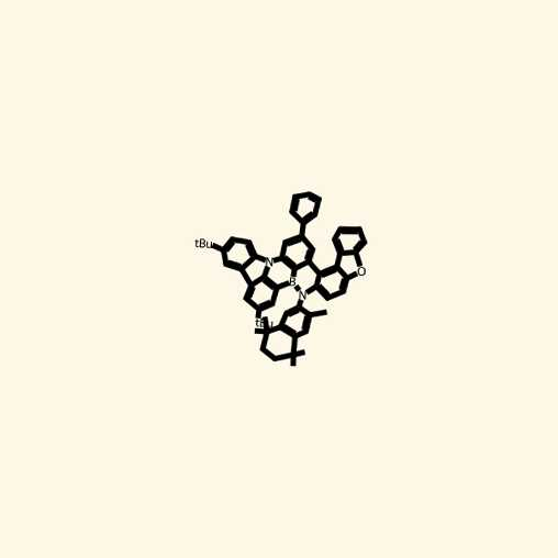 Cc1cc2c(cc1N1B3c4c(cc(-c5ccccc5)cc4-n4c5ccc(C(C)(C)C)cc5c5cc(C(C)(C)C)cc3c54)-c3c1ccc1oc4ccccc4c31)C(C)(C)CCC2(C)C